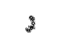 CS(=O)(=O)CC(=O)N1C[C@@H]2C[C@H]1CN2Cc1ccc([C@H]2COc3cccnc3O2)cc1